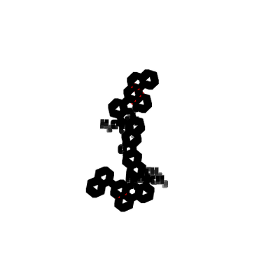 CC(C)(C)c1cccc(-c2ccccc2)c1N(c1cccc(-c2cccc3ccccc23)c1)c1ccc2cc3c(cc2c1)oc1cc2cc(N(c4cccc(-c5cccc6ccccc56)c4)c4c(-c5ccccc5)cccc4C(C)(C)C)ccc2cc13